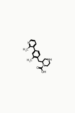 Cc1cc(-c2cccnc2C)ccc1CC1CNCCN1C(=O)O